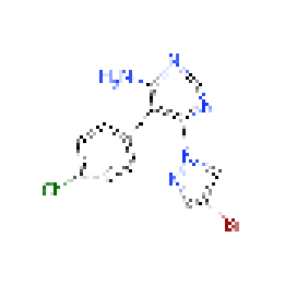 Nc1ncnc(-n2cc(Br)cn2)c1-c1ccc(Cl)cc1